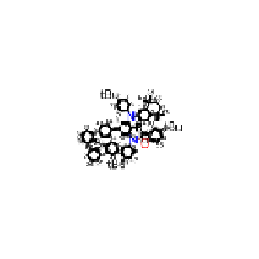 CC(C)(C)c1ccc(N2c3cc4c(cc3B3c5c2cc(-c2cccc([Si](c6ccccc6)(c6ccccc6)c6ccccc6)c2)cc5N(c2ccc(C(C)(C)C)cc2)c2oc5ccc(C(C)(C)C)cc5c23)C(C)(C)CCC4(C)C)cc1